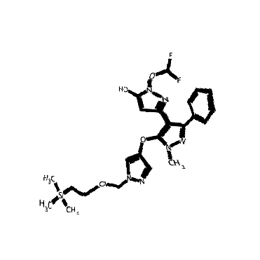 Cn1nc(-c2ccccc2)c(-c2cc(O)n(OC(F)F)n2)c1Oc1cnn(COCC[Si](C)(C)C)c1